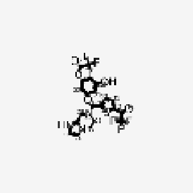 O=C([O-])C(F)(F)F.O=C(c1ccc(C(=O)C(F)(F)F)s1)N1CC[n+]2cc[nH]c2C1.Oc1ccccc1